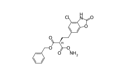 NOC(=O)[C@H](CCc1cc(Cl)c2[nH]c(=O)oc2c1)C(=O)OCc1ccccc1